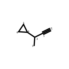 [C]#CC(C)C1CC1